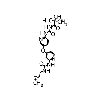 COCCNC(=O)Nc1cc(Oc2ccc(NC(=O)NC(=O)C(C)(C)C)nc2)ccn1